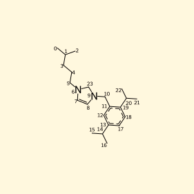 CC(C)CCCN1C=CN(Cc2cc(C(C)C)ccc2C(C)C)C1